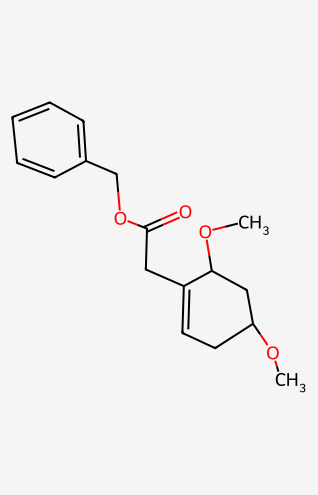 COC1CC=C(CC(=O)OCc2ccccc2)C(OC)C1